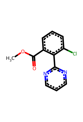 COC(=O)c1cccc(Cl)c1-c1ncccn1